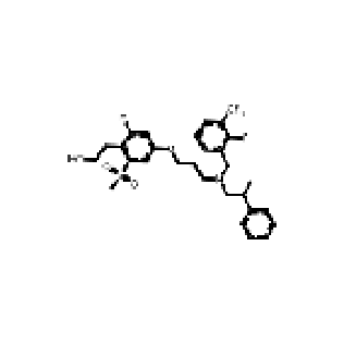 CC(CN(CCCOc1cc(F)c(CCO)c(S(C)(=O)=O)c1)Cc1cccc(C(F)(F)F)c1F)c1ccccc1